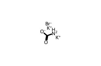 NC(=O)[O-].[Br-].[K+].[K+]